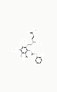 COc1c(C)c2c(c(NC(=O)Nc3ccccc3Cl)c1CCC(C)/C=C/C(=O)O)C(=O)OC2